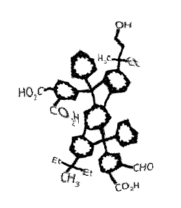 CCC(C)(CC)c1ccc2c(c1)C(c1ccccc1)(c1ccc(C(=O)O)c(C=O)c1)c1cc3c(cc1-2)C(c1ccccc1)(c1ccc(C(=O)O)c(C(=O)O)c1)c1cc(C(C)(CC)CCO)ccc1-3